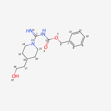 N=C(NC(=O)OCc1ccccc1)N1CCC(CCO)CC1